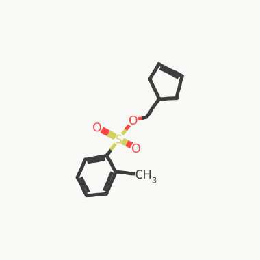 Cc1ccccc1S(=O)(=O)OCC1CC=CC1